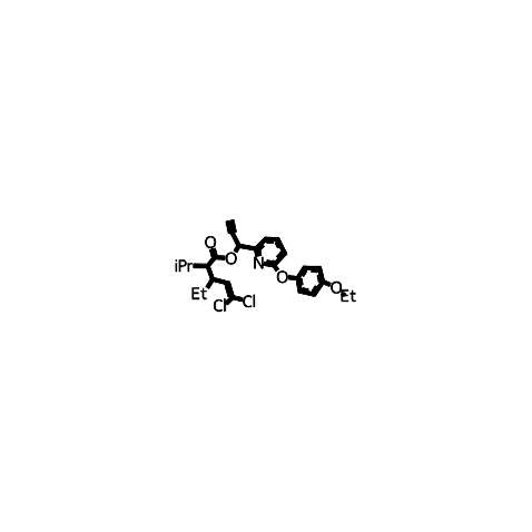 C#CC(OC(=O)C(C(C)C)C(C=C(Cl)Cl)CC)c1cccc(Oc2ccc(OCC)cc2)n1